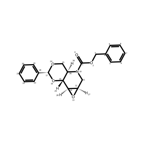 O=C(OCc1ccccc1)N1C[C@H]2O[C@H]2[C@@H]2O[C@H](c3ccccc3)OC[C@H]21